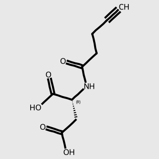 C#CCCC(=O)N[C@H](CC(=O)O)C(=O)O